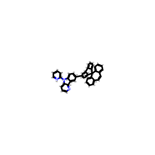 C1=Cc2ccccc2C2(c3ccccc31)c1ccccc1-c1cc(-c3ccc4c(c3)c3ncccc3n4-c3ccccn3)ccc12